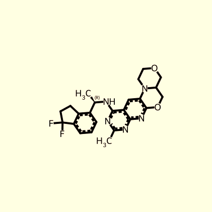 Cc1nc(N[C@H](C)c2cccc3c2CCC3(F)F)c2cc3c(nc2n1)OCC1COCCN31